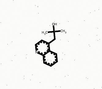 CC(C)(O)Cc1ccnc2ccccc12